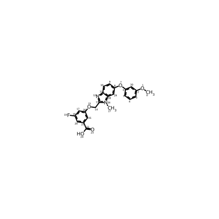 COc1cccc(Oc2ccc3nc(COc4cc(F)cc(C(=O)O)c4)n(C)c3c2)c1